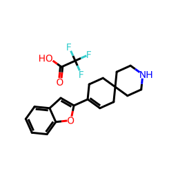 C1=C(c2cc3ccccc3o2)CCC2(C1)CCNCC2.O=C(O)C(F)(F)F